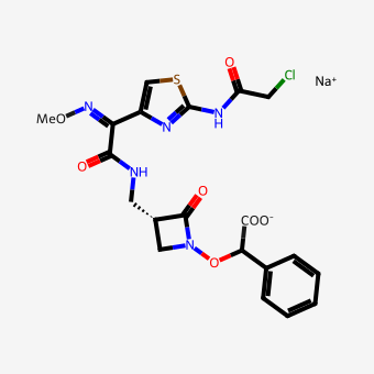 CO/N=C(\C(=O)NC[C@H]1CN(OC(C(=O)[O-])c2ccccc2)C1=O)c1csc(NC(=O)CCl)n1.[Na+]